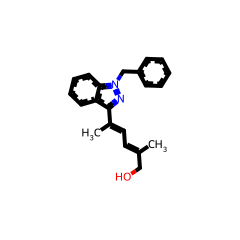 C/C(=C\C=C(/C)c1nn(Cc2ccccc2)c2ccccc12)CO